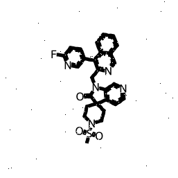 CS(=O)(=O)N1CCC2(CC1)C(=O)N(Cc1ncc3ccccc3c1-c1ccc(F)nc1)c1cnccc12